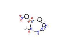 CC(C)C(=O)N1CCNc2ccn3ncc(c3n2)-c2cccc(c2)CN(S(=O)(=O)c2cccc([N+](=O)[O-])c2)CC1